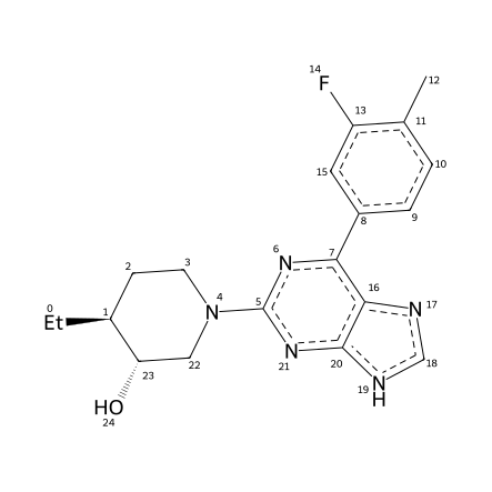 CC[C@H]1CCN(c2nc(-c3ccc(C)c(F)c3)c3nc[nH]c3n2)C[C@@H]1O